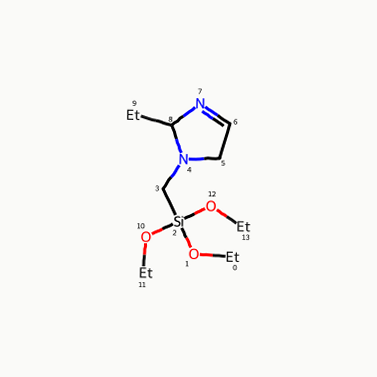 CCO[Si](CN1CC=NC1CC)(OCC)OCC